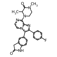 CC1C(=O)N(C)CCN1c1nccn2c(-c3ccc4c(c3)CC(=O)N4)c(-c3ccc(F)cc3)nc12